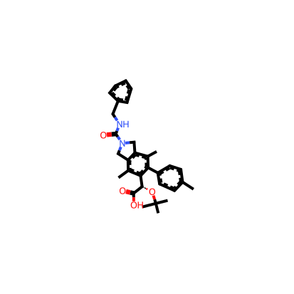 Cc1ccc(-c2c(C)c3c(c(C)c2[C@H](OC(C)(C)C)C(=O)O)CN(C(=O)NCc2ccccc2)C3)cc1